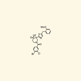 COc1ccccc1Cc1cnc(C2(F)CN(C(=O)c3ccc(Br)c(Cl)c3)CCS2(=O)=O)s1